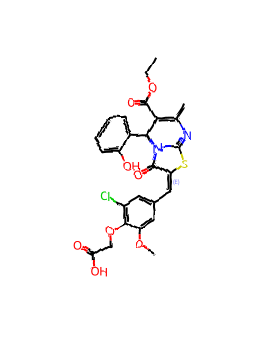 CCOC(=O)C1=C(C)N=c2s/c(=C/c3cc(Cl)c(OCC(=O)O)c(OC)c3)c(=O)n2C1c1ccccc1O